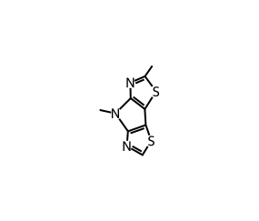 Cc1nc2c(s1)c1scnc1n2C